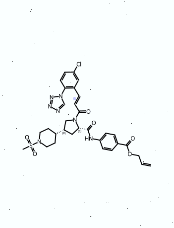 C=CCOC(=O)c1ccc(NC(=O)[C@@H]2C[C@H](C3CCN(S(C)(=O)=O)CC3)CN2C(=O)/C=C/c2cc(Cl)ccc2-n2cnnn2)cc1